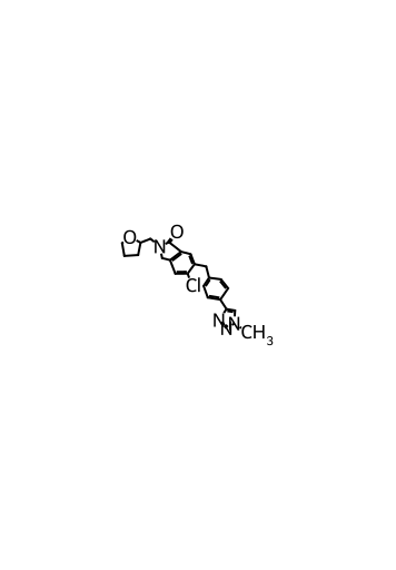 Cn1cc(-c2ccc(Cc3cc4c(cc3Cl)CN(CC3CCCO3)C4=O)cc2)nn1